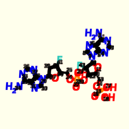 Nc1ncnc2c1ncn2[C@@H]1O[C@H](COP(=O)(O)O)[C@@H](OP(=O)(O)OC[C@H]2O[C@@H](n3cnc4c(N)ncnc43)C[C@H]2F)[C@H]1F